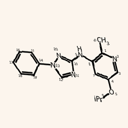 Cc1ncc(OC(C)C)cc1Nc1ncn(-c2ccccc2)n1